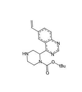 C=Cc1ccc2ncnc(C3CNCCN3C(=O)OC(C)(C)C)c2c1